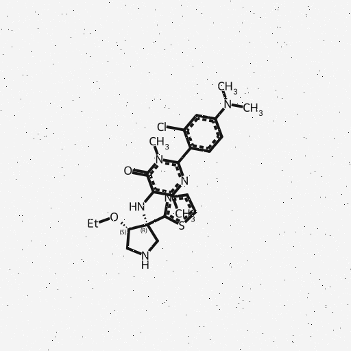 CCO[C@H]1CNC[C@]1(Nc1c(C)nc(-c2ccc(N(C)C)cc2Cl)n(C)c1=O)c1nccs1